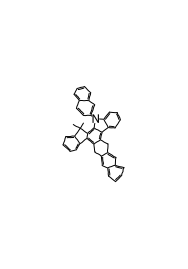 CC1(C)c2ccccc2-c2c3c(c4c5ccccc5n(-c5ccc6ccccc6c5)c4c21)Cc1cc2ccccc2cc1C3